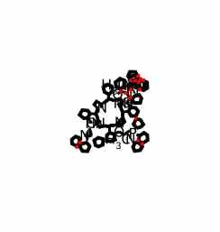 C[N+](c1ccccc1)=P(CCOc1ccccc1-c1c2nc(c(-c3ccccc3OCCP(=Nc3ccccc3)(c3ccccc3)c3ccccc3)c3ccc([nH]3)c(-c3ccccc3OCCP(c3ccccc3)(c3ccccc3)=[N+](C)c3ccccc3)c3nc(c(-c4ccccc4OCCP(=Nc4ccccc4)(c4ccccc4)c4ccccc4)c4ccc1[nH]4)C=C3)C=C2)(c1ccccc1)c1ccccc1